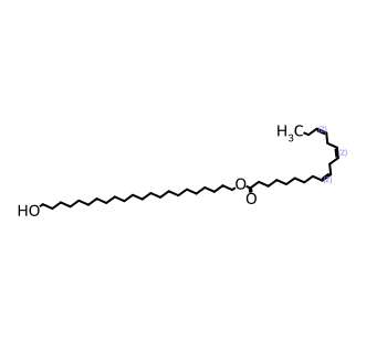 CC/C=C\C/C=C\C/C=C\CCCCCCCC(=O)OCCCCCCCCCCCCCCCCCCCCCCO